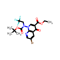 CCOC(=O)c1cn(N(CC(F)(F)F)C(=O)OC(C)(C)C)c2ncc(Br)cc2c1=O